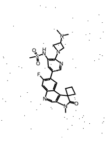 CN1C(=O)C2(CCC2)c2c1cnc1cc(F)c(-c3cnc(N4CC(N(C)C)C4)c(NS(C)(=O)=O)c3)cc21